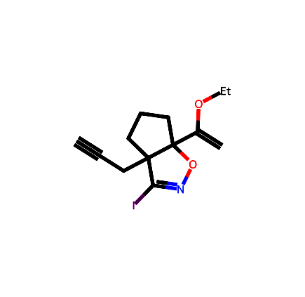 C#CCC12CCCC1(C(=C)OCC)ON=C2I